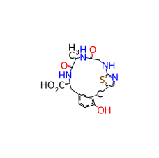 C[C@@H]1NC(=O)CNc2ncc(s2)Cc2cc(ccc2O)C[C@@H](C(=O)O)NC1=O